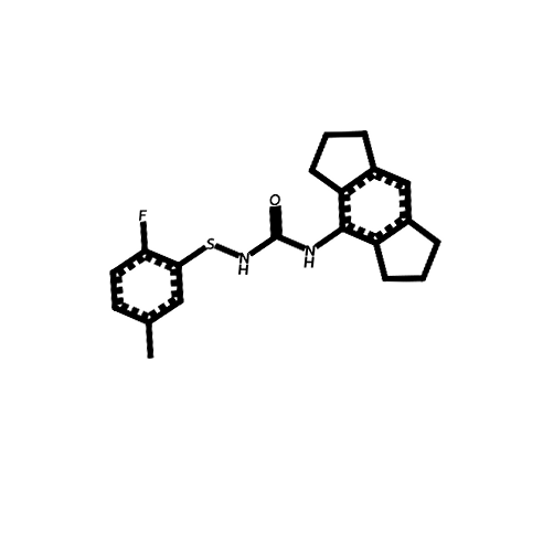 Cc1ccc(F)c(SNC(=O)Nc2c3c(cc4c2CCC4)CCC3)c1